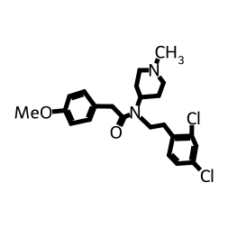 COc1ccc(CC(=O)N(CCc2ccc(Cl)cc2Cl)C2CCN(C)CC2)cc1